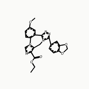 CCOC(=O)c1ncn2c1Cn1c(-c3ccc4c(c3)OCO4)nnc1-c1cc(OC)ccc1-2